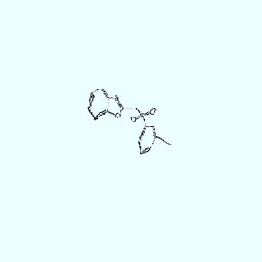 Cc1cccc(S(=O)(=O)Cc2nc3ccccc3o2)c1